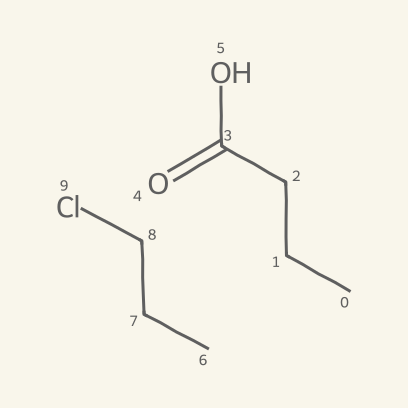 CCCC(=O)O.CCCCl